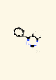 CCc1nc(OC)nc(-c2ccccc2)c1C(=O)O